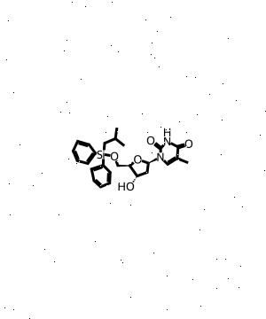 Cc1cn([C@H]2C[C@H](O)[C@@H](CO[Si](CC(C)C)(c3ccccc3)c3ccccc3)O2)c(=O)[nH]c1=O